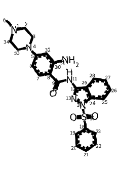 CN1CCN(c2ccc(C(=O)Nc3nn(S(=O)(=O)c4ccccc4)c4ccccc34)c(N)c2)CC1